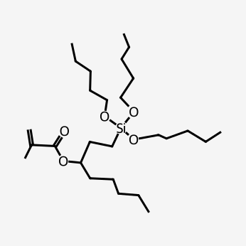 C=C(C)C(=O)OC(CCCCC)CC[Si](OCCCCC)(OCCCCC)OCCCCC